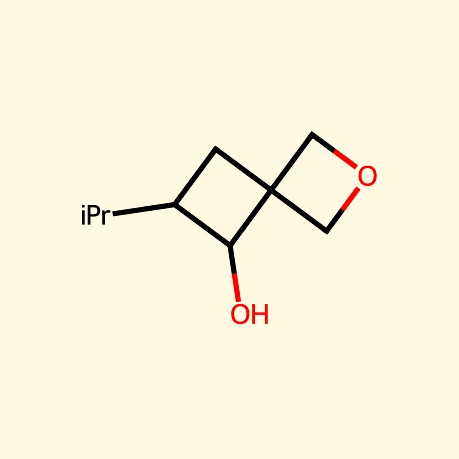 CC(C)C1CC2(COC2)C1O